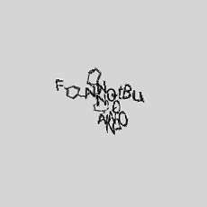 CN(c1nccc(=O)n1COC(=O)C(C)(C)C)C1CCN(c2nc3ccccc3n2Cc2ccc(F)cc2)CC1